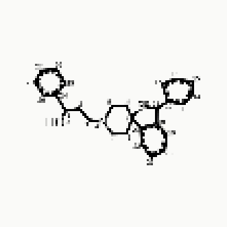 OC(CCN1CCC2(CC1)SC(c1ccccc1)c1ccccc12)c1ccccc1